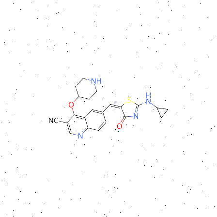 N#Cc1cnc2ccc(/C=C3/SC(NC4CC4)=NC3=O)cc2c1OC1CCNCC1